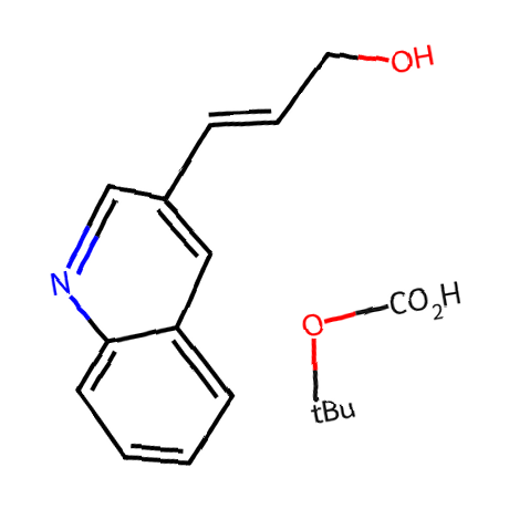 CC(C)(C)OC(=O)O.OCC=Cc1cnc2ccccc2c1